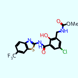 COC(=O)NCc1cc(Cl)cc(C(=O)Nc2nc3ccc(C(F)(F)F)cc3s2)c1O